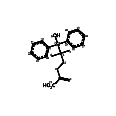 C=C(CCC(C)(C)[Si](O)(c1ccccc1)c1ccccc1)C(=O)O